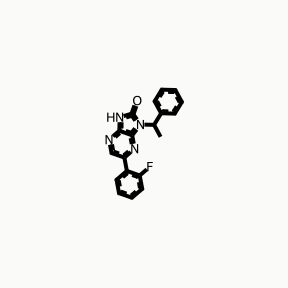 CC(c1ccccc1)n1c(=O)[nH]c2ncc(-c3ccccc3F)nc21